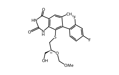 COCO[C@@H](CO)CSc1c(-c2ccc(F)cc2F)c(C)cc2c(=O)[nH]c(=O)[nH]c12